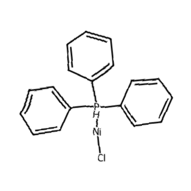 [Cl][Ni][PH](c1ccccc1)(c1ccccc1)c1ccccc1